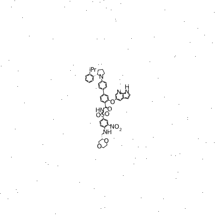 CC(C)c1ccccc1[C@@H]1CCCN1c1ccc(-c2ccc(C(=O)NS(=O)(=O)c3ccc(NC[C@H]4COCCO4)c([N+](=O)[O-])c3)c(Oc3cnc4[nH]ccc4c3)c2)cc1